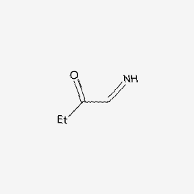 CCC(=O)C=N